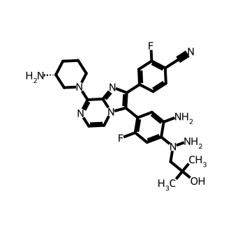 CC(C)(O)CN(N)c1cc(F)c(-c2c(-c3ccc(C#N)c(F)c3)nc3c(N4CCC[C@@H](N)C4)nccn23)cc1N